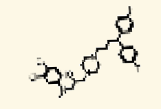 CN(CC(O)CN1CCN(CCCC(c2ccc(F)cc2)c2ccc(F)cc2)CC1)c1ccc(Cl)c(Cl)c1